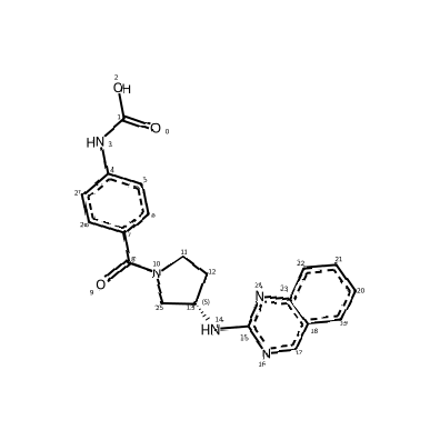 O=C(O)Nc1ccc(C(=O)N2CC[C@H](Nc3ncc4ccccc4n3)C2)cc1